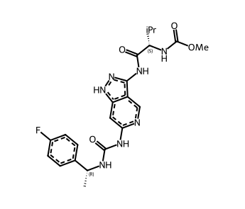 COC(=O)N[C@H](C(=O)Nc1n[nH]c2cc(NC(=O)N[C@H](C)c3ccc(F)cc3)ncc12)C(C)C